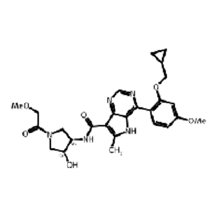 COCC(=O)N1C[C@H](O)[C@H](NC(=O)c2c(C)[nH]c3c(-c4ccc(OC)cc4OCC4CC4)ncnc23)C1